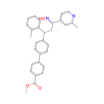 COC(=O)c1ccc(-c2ccc(C(C/C(=N\O)c3ccnc(C)c3)c3ccccc3C)cc2)cc1